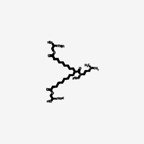 CCCCCCCCCN(CCCN(C)C)C(=O)C(CCCCCCCCC(=O)OCC(CCCC)CCCCCCC)CCCCCCCCC(=O)OCC(CCCC)CCCCCCC